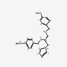 COc1ccc(COC[C@@H](Cn2ccnc2)OCc2ccc(OC)cc2)cc1